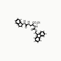 CCOC(=O)[C@H](CNC(=O)N[C@@H]1CCc2ccccc21)NC(=O)OCC1c2ccccc2-c2ccccc21